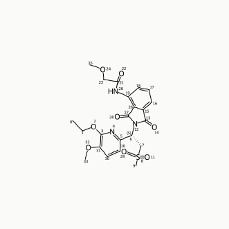 CCOc1nc([C@@H](CS(C)(=O)=O)N2C(=O)c3cccc(NC(=O)COC)c3C2=O)ccc1OC